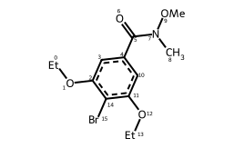 CCOc1cc(C(=O)N(C)OC)cc(OCC)c1Br